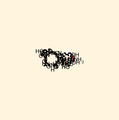 CCCC(C)/C=C\C(O)CC(=O)NC(C(=O)NC(C(=O)NC(C(=O)NC(C(=O)NC1C(=O)NC(COC)C(=O)NCC(=O)NC(CC(C)C)C(=O)N(C)C(CCC(N)=O)C(=O)NC(C(OC)c2ccc(O)cc2)C(=O)N(C)C(C)C(=O)OC1C)C(C)C(C)C(N)=O)C(C)N)C(C)O)C(O)C(N)=O